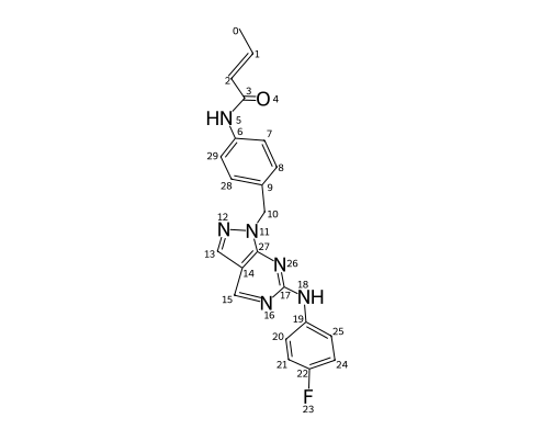 CC=CC(=O)Nc1ccc(Cn2ncc3cnc(Nc4ccc(F)cc4)nc32)cc1